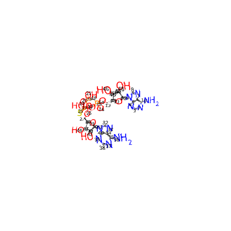 Nc1ncnc2c1ncn2[C@@H]1O[C@H](COP(=O)(O)CP(=O)(O)OP(O)(=S)OC[C@H]2O[C@@H](n3cnc4c(N)ncnc43)[C@H](O)[C@@H]2O)[C@@H](O)[C@H]1O